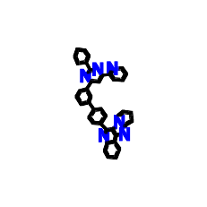 c1ccc(-c2nc(-c3cccc(-c4ccc(-c5nc6ccccc6c6nc7ccccn7c56)cc4)c3)cc(-c3ccccn3)n2)cc1